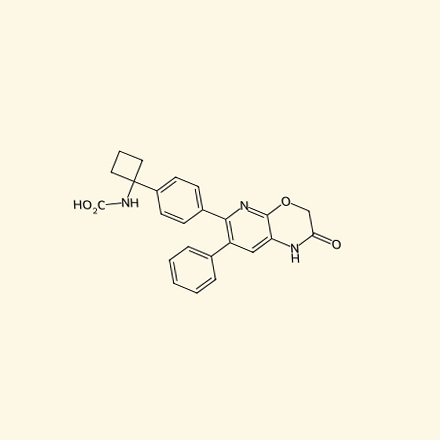 O=C(O)NC1(c2ccc(-c3nc4c(cc3-c3ccccc3)NC(=O)CO4)cc2)CCC1